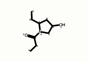 CCC(=O)N1CC(O)CC1CC